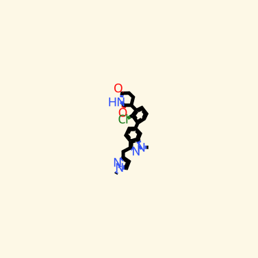 Cn1ccc(Cc2nn(C)c3cc(-c4cccc(C5CCC(=O)NC5=O)c4Cl)ccc23)n1